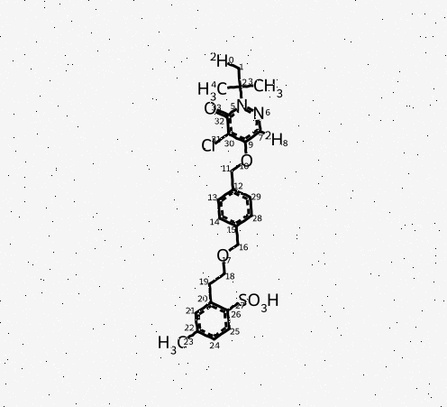 [2H]CC(C)(C)n1nc([2H])c(OCc2ccc(COCCc3cc(C)ccc3S(=O)(=O)O)cc2)c(Cl)c1=O